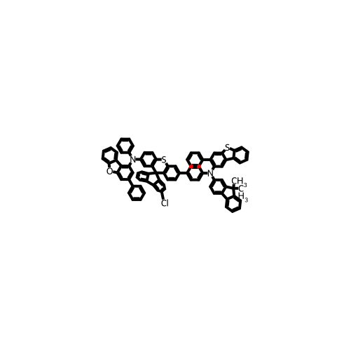 CC1(C)c2ccccc2-c2ccc(N(c3ccc(-c4ccc5c(c4)Sc4ccc(N(c6ccccc6)c6cc(-c7ccccc7)cc7oc8ccccc8c67)cc4C54c5ccccc5-c5cc(Cl)ccc54)cc3)c3cc4c(cc3-c3ccccc3)sc3ccccc34)cc21